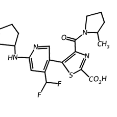 CC1CCCN1C(=O)c1nc(C(=O)O)sc1-c1cnc(NC2CCCC2)cc1C(F)F